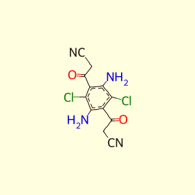 N#CCC(=O)c1c(N)c(Cl)c(C(=O)CC#N)c(N)c1Cl